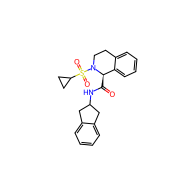 O=C(NC1Cc2ccccc2C1)[C@@H]1c2ccccc2CCN1S(=O)(=O)C1CC1